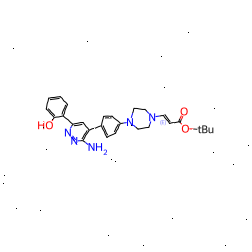 CC(C)(C)OC(=O)/C=C/N1CCN(c2ccc(-c3cc(-c4ccccc4O)nnc3N)cc2)CC1